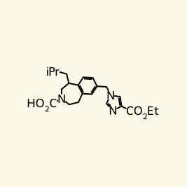 CCOC(=O)c1cn(Cc2ccc3c(c2)CCN(C(=O)O)CC3CC(C)C)cn1